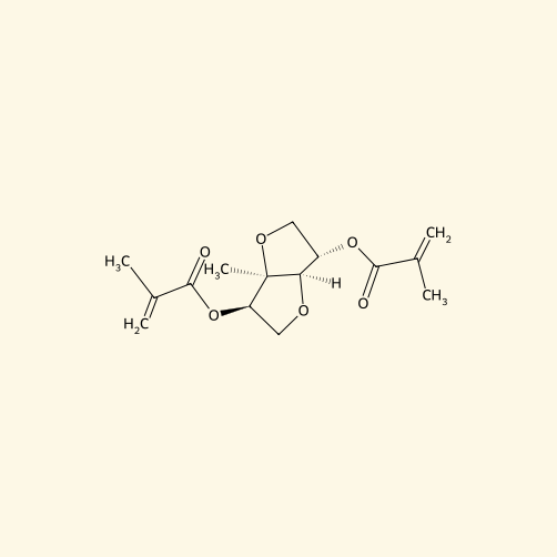 C=C(C)C(=O)O[C@H]1CO[C@@]2(C)[C@@H]1OC[C@H]2OC(=O)C(=C)C